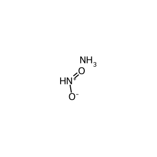 N.O=[NH+][O-]